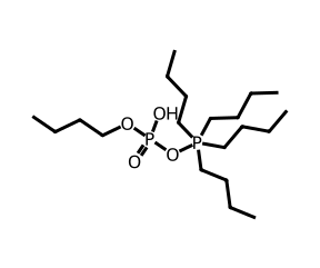 CCCCOP(=O)(O)OP(CCCC)(CCCC)(CCCC)CCCC